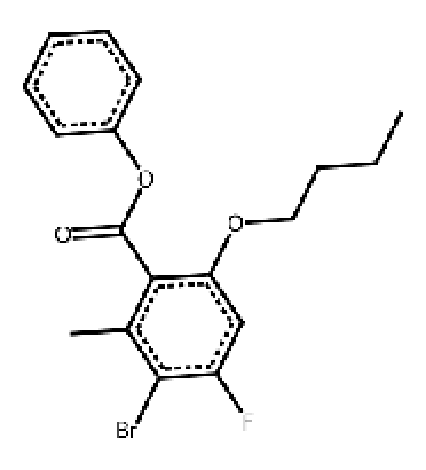 CCCCOc1cc(F)c(Br)c(C)c1C(=O)Oc1ccccc1